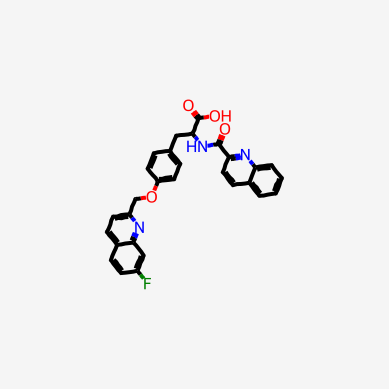 O=C(NC(Cc1ccc(OCc2ccc3ccc(F)cc3n2)cc1)C(=O)O)c1ccc2ccccc2n1